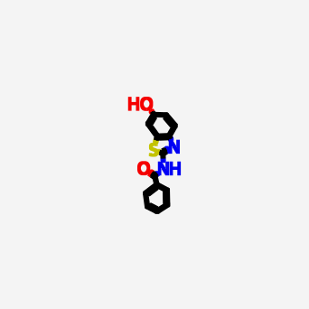 O=C(Nc1nc2ccc(O)cc2s1)c1ccccc1